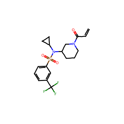 C=CC(=O)N1CCCC(N(C2CC2)S(=O)(=O)c2cccc(C(F)(F)F)c2)C1